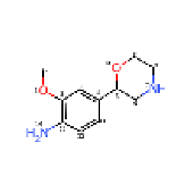 COc1cc(C2CNCCO2)ccc1N